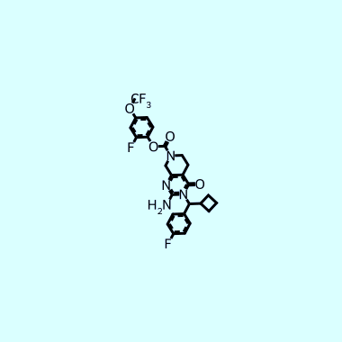 Nc1nc2c(c(=O)n1C(c1ccc(F)cc1)C1CCC1)CCN(C(=O)Oc1ccc(OC(F)(F)F)cc1F)C2